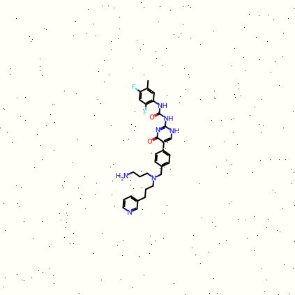 Cc1cc(NC(=O)Nc2nc(=O)c(-c3ccc(CN(CCCN)CCCc4cccnc4)cc3)c[nH]2)c(F)cc1F